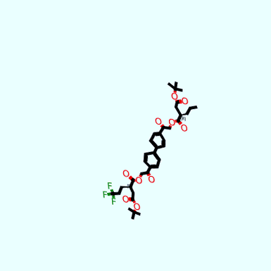 CCC[C@H](CC(=O)OC(C)(C)C)C(=O)OCC(=O)c1ccc(-c2ccc(C(=O)COC(=O)[C@H](CCC(F)(F)F)CC(=O)OC(C)(C)C)cc2)cc1